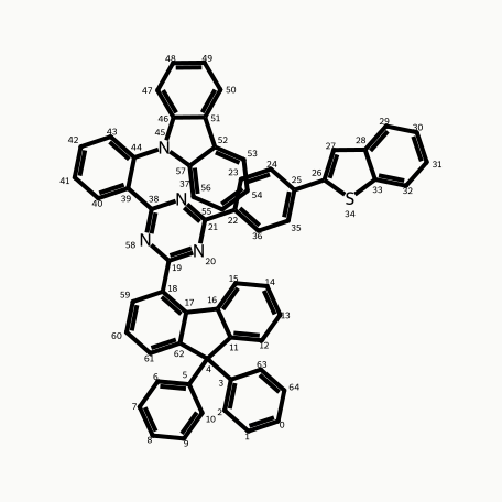 c1ccc(C2(c3ccccc3)c3ccccc3-c3c(-c4nc(-c5ccc(-c6cc7ccccc7s6)cc5)nc(-c5ccccc5-n5c6ccccc6c6ccccc65)n4)cccc32)cc1